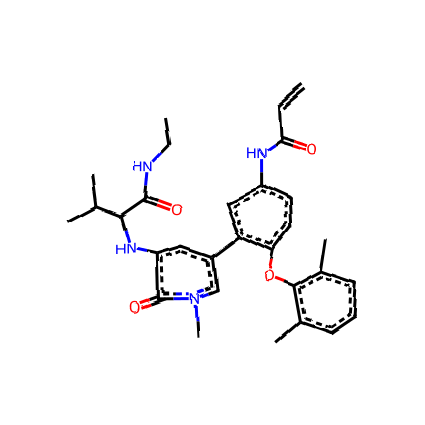 C=CC(=O)Nc1ccc(Oc2c(C)cccc2C)c(-c2cc(NC(C(=O)NCC)C(C)C)c(=O)n(C)c2)c1